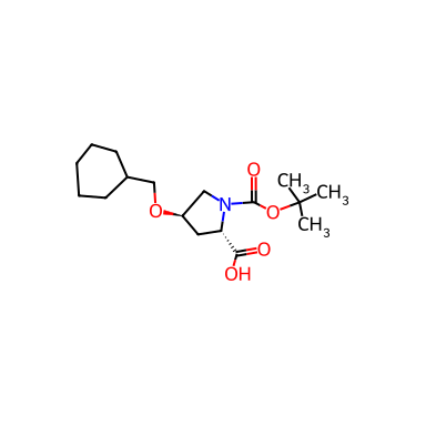 CC(C)(C)OC(=O)N1C[C@H](OCC2CCCCC2)C[C@H]1C(=O)O